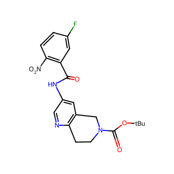 CC(C)(C)OC(=O)N1CCc2ncc(NC(=O)c3cc(F)ccc3[N+](=O)[O-])cc2C1